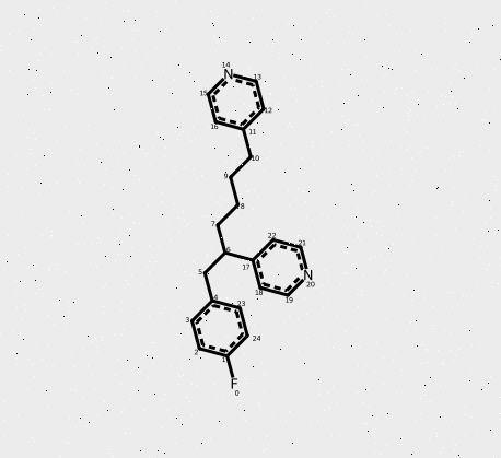 Fc1ccc(CC(C[CH]CCc2ccncc2)c2ccncc2)cc1